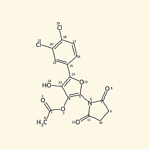 CC(=O)Oc1c(N2C(=O)CCC2=O)oc(-c2ccc(Cl)c(Cl)c2)c1O